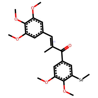 COc1cc(/C=C(\C)C(=O)c2cc(OC)c(OC)c([Se]C)c2)cc(OC)c1OC